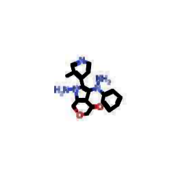 Cc1cnccc1-c1c(N(N)c2ccccc2)c2c(n1N)COCC2=O